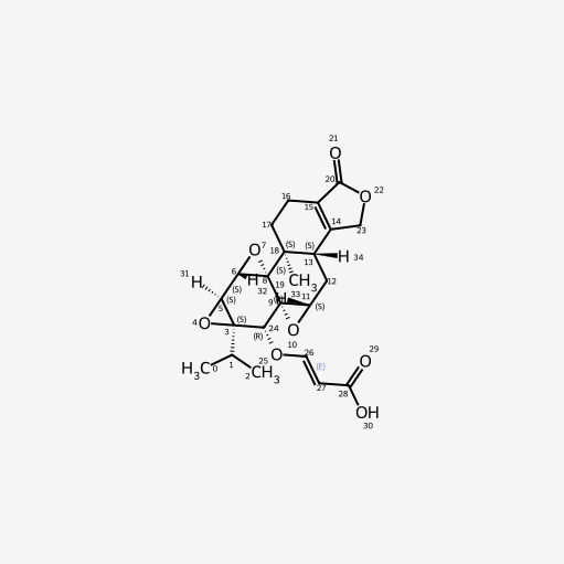 CC(C)[C@]12O[C@H]1[C@@H]1O[C@]13[C@]1(O[C@H]1C[C@H]1C4=C(CC[C@@]13C)C(=O)OC4)[C@@H]2O/C=C/C(=O)O